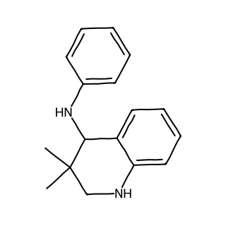 CC1(C)CNc2ccccc2C1Nc1ccccc1